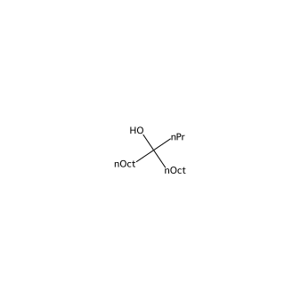 CCCCCCCCC(O)(CCC)CCCCCCCC